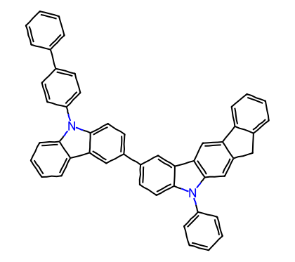 c1ccc(-c2ccc(-n3c4ccccc4c4cc(-c5ccc6c(c5)c5cc7c(cc5n6-c5ccccc5)Cc5ccccc5-7)ccc43)cc2)cc1